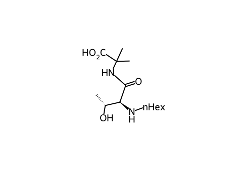 CCCCCCN[C@H](C(=O)NC(C)(C)C(=O)O)[C@@H](C)O